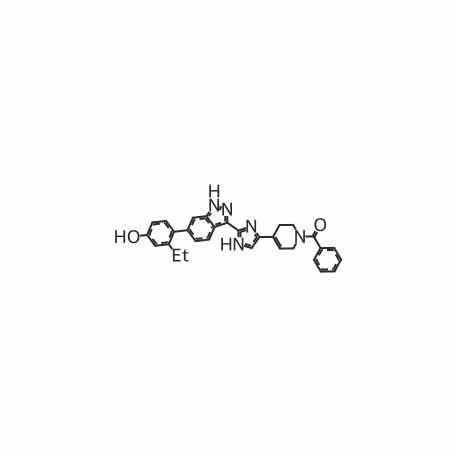 CCc1cc(O)ccc1-c1ccc2c(-c3nc(C4=CCN(C(=O)c5ccccc5)CC4)c[nH]3)n[nH]c2c1